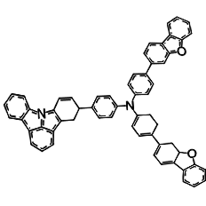 C1=CC(c2ccc(N(C3=CC=C(C4=CC=C5c6ccccc6OC5C4)CC3)c3ccc(-c4ccc5c(c4)oc4ccccc45)cc3)cc2)Cc2c1n1c3ccccc3c3cccc2c31